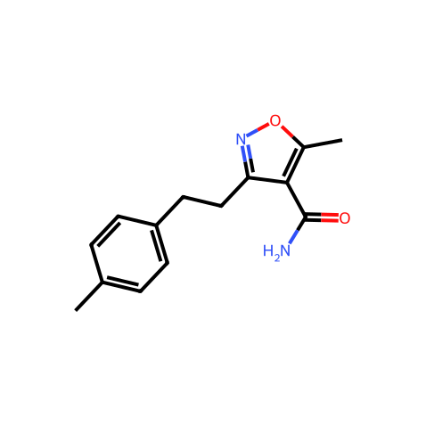 Cc1ccc(CCc2noc(C)c2C(N)=O)cc1